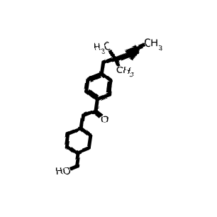 CC#CC(C)(C)Cc1ccc(C(=O)CC2CCC(CO)CC2)cc1